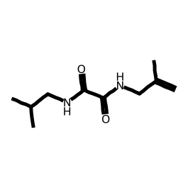 C=C(C)CNC(=O)C(=O)NCC(C)C